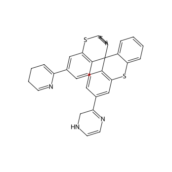 C1=CNCC(c2ccc3c(c2)Sc2ccccc2C32c3ccccc3Sc3cc(C4=CCCC=N4)ccc32)=N1